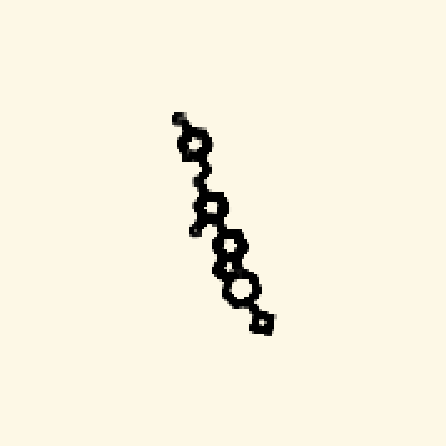 O=c1cc(OCc2ccc(Cl)cn2)ccn1-c1ccc2c(c1)cc1n2CCN(C2CCC2)CC1